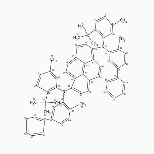 Cc1ccc(C(C)(C)C)c(N(c2cc(-c3ccccc3)ccc2C)c2ccc3ccc4c(N(c5cc(-c6ccccc6)ccc5C)c5cc(C)ccc5C(C)(C)C)ccc5ccc2c3c54)c1